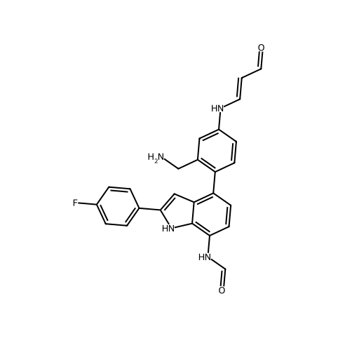 NCc1cc(NC=CC=O)ccc1-c1ccc(NC=O)c2[nH]c(-c3ccc(F)cc3)cc12